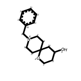 OC1CCOC2(CCN(Cc3ccccc3)CC2)C1